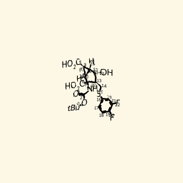 CC(C)(C)OC(=O)N[C@]1(C(=O)O)[C@@H]2[C@@H](C(=O)O)[C@@H]2[C@H](O)[C@H]1CSc1ccc(F)c(F)c1